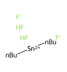 CCC[CH2][Sn+2][CH2]CCC.F.F.[F-].[F-]